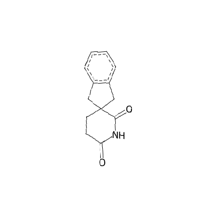 O=C1CCC2(Cc3ccccc3C2)C(=O)N1